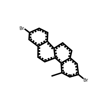 Cc1cc(Br)cc2ccc3c4ccc(Br)cc4ccc3c12